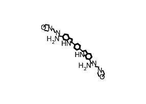 N/C(=N\CCN1CCOCC1)c1ccc2cc(-c3ccc(-c4cc5ccc(/C(N)=N/CCN6CCOCC6)cc5[nH]4)cc3)[nH]c2c1